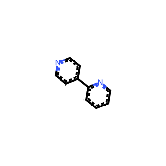 [c]1cnccc1-c1[c]cccn1